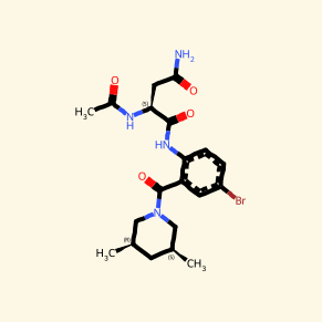 CC(=O)N[C@@H](CC(N)=O)C(=O)Nc1ccc(Br)cc1C(=O)N1C[C@H](C)C[C@H](C)C1